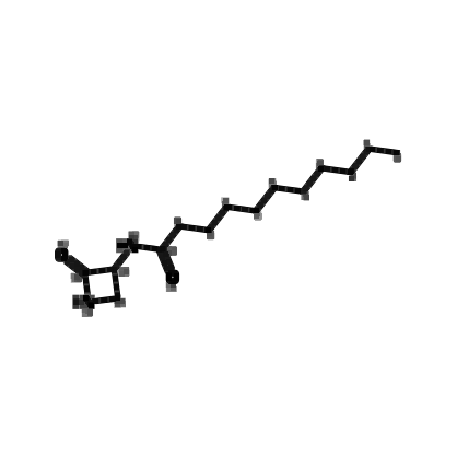 CCCCCCCCCCC(=O)NC1CNC1=O